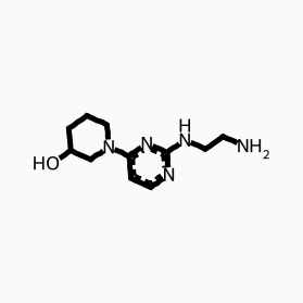 NCCNc1nccc(N2CCCC(O)C2)n1